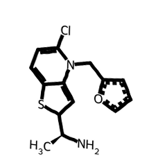 C[C@H](N)C1C=C2C(=CC=C(Cl)N2Cc2ccco2)S1